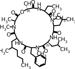 CCCCC(C)CC1NC(=O)C(Cc2ccccc2)N(C)C(=O)[C@H](CC(C)C)NC(=O)C(CC(C)C)N(C)C(=O)C(CC)NC(=O)[C@@H](C)OC(=O)C(C)N(C)C1=O